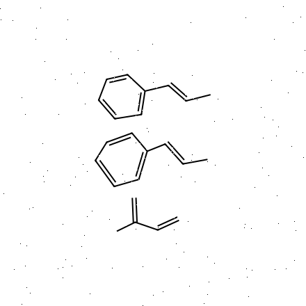 C=CC(=C)C.CC=Cc1ccccc1.CC=Cc1ccccc1